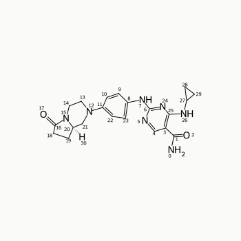 NC(=O)c1cnc(Nc2ccc(N3CCN4C(=O)CC[C@@H]4C3)cc2)nc1NC1CC1